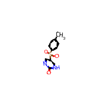 Cc1ccc(S(=O)(=O)c2cnc(=O)[nH]c2)cc1